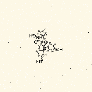 CCSc1ccc(CN([C@H](Cc2cccs2)C(=O)NO)S(=O)(=O)c2ccc(O)cc2)cc1